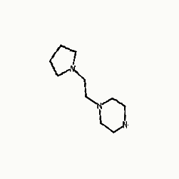 C1CCN(CCN2CC[N]CC2)C1